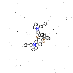 CC1(C)c2c(-c3ccccc3)sc(-c3ccccc3)c2-c2c(-c3ccc(N(c4ccc(-c5ccccc5)cc4)c4cccc5ccccc45)cc3)sc(-c3ccc(N(c4ccc(-c5ccccc5)cc4)c4cccc5ccccc45)cc3)c21